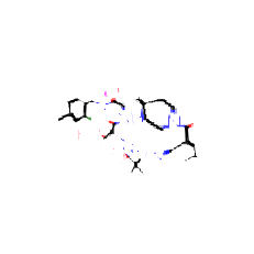 Cc1ccc(CNC(=O)[C@H](CC2CCN(C(=O)C(C#N)=CC(C)C)CC2)NC(=O)[C@@H](NC(=O)C(C)(C)C)[C@@H](C)O)c(F)c1